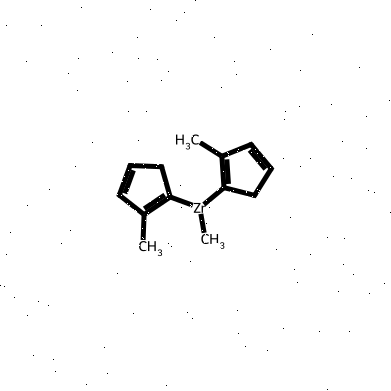 CC1=[C]([Zr]([CH3])[C]2=C(C)C=CC2)CC=C1